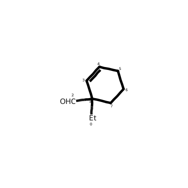 CCC1(C=O)C=CCCC1